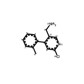 Cc1ccccc1-c1cc(Cl)ncc1CN